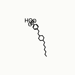 CCCCCCCC1CCC(CCc2ccc(S(=O)(=O)O)cc2)CC1